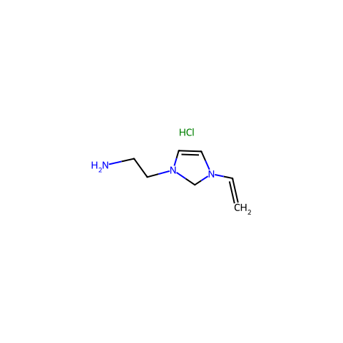 C=CN1C=CN(CCN)C1.Cl